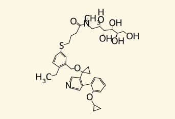 CCc1ccc(SCCCC(=O)N(C)C[C@H](O)[C@@H](O)[C@H](O)[C@H](O)CO)cc1COC1(c2cnccc2-c2ccccc2OC2CC2)CC1